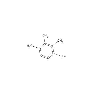 [CH2]CCCc1ccc(C)c(C)c1C